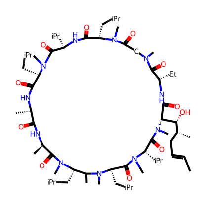 C/C=C/C[C@@H](C)[C@@H](O)[C@H]1C(=O)N[C@@H](CC)C(=O)N(C)CC(=O)N(C)[C@@H](CC(C)C)C(=O)N[C@@H](C(C)C)C(=O)N(C)[C@@H](CC(C)C)C(=O)N[C@@H](C)C(=O)N[C@H](C)C(=O)N(C)[C@@H](CC(C)C)C(C)N(C)[C@@H](CC(C)C)C(=O)N(C)[C@@H](C(C)C)C(=O)N1C